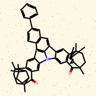 CC1(C)CCC2C1C1(C)CCC2(C)C(=O)c2cc3c(cc21)c1cc2cc(-c4ccccc4)ccc2c2c4cc5c(cc4n3c12)C(=O)C1(C)CCC5(C)C2C1CCC2(C)C